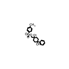 CCC1(COS(=O)(=O)c2ccc(C)cc2)CCC(O)(c2ccccc2)CC1